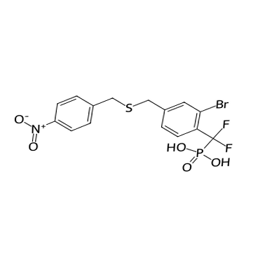 O=[N+]([O-])c1ccc(CSCc2ccc(C(F)(F)P(=O)(O)O)c(Br)c2)cc1